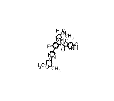 C[C@@H]1CN(c2ncc(-c3cc(NC(=O)c4c[nH]c(=O)cc4C(F)(F)F)c(N4CC[C@H](N(C)C)C4)cc3F)cn2)C[C@H](C)O1